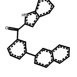 O=C(c1cccc(-c2ccc3ccccc3c2)c1)c1cc2ccccc2[nH]1